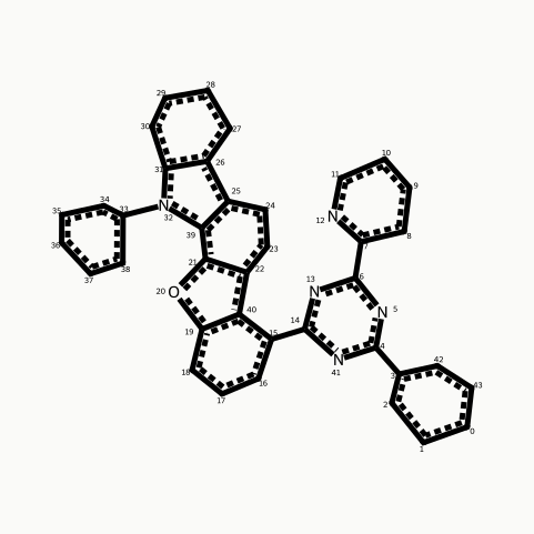 c1ccc(-c2nc(-c3ccccn3)nc(-c3cccc4oc5c(ccc6c7ccccc7n(-c7ccccc7)c65)c34)n2)cc1